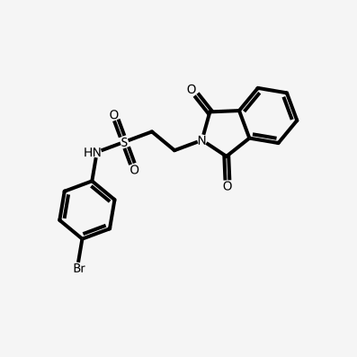 O=C1c2ccccc2C(=O)N1CCS(=O)(=O)Nc1ccc(Br)cc1